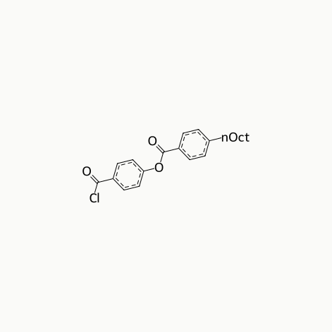 CCCCCCCCc1ccc(C(=O)Oc2ccc(C(=O)Cl)cc2)cc1